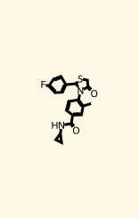 Cc1cc(C(=O)NC2CC2)ccc1N1C(=O)CSC1c1ccc(F)cc1